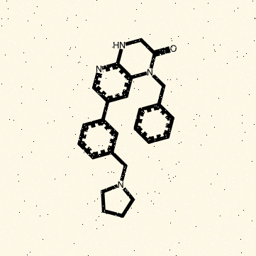 O=C1CNc2ncc(-c3cccc(CN4CCCC4)c3)cc2N1Cc1ccccc1